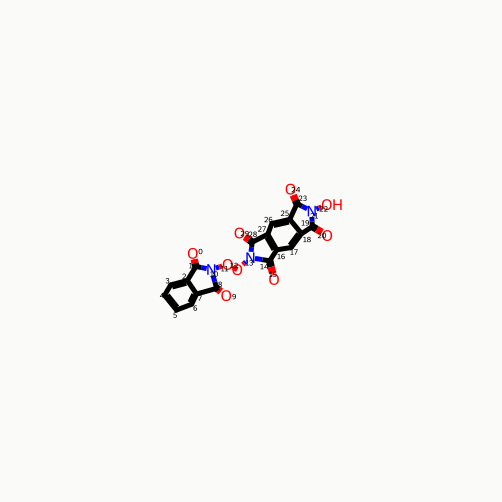 O=C1c2ccccc2C(=O)N1OOn1c(=O)c2cc3c(=O)n(O)c(=O)c3cc2c1=O